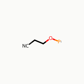 N#CCCO[P]